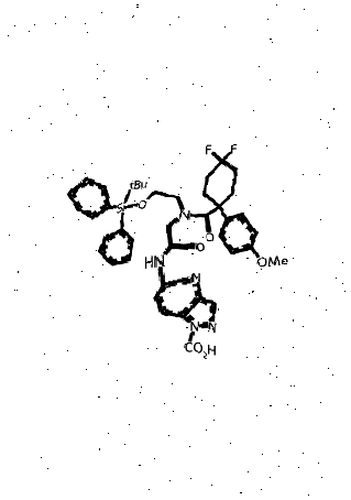 COc1ccc(C2(C(=O)N(CCO[Si](c3ccccc3)(c3ccccc3)C(C)(C)C)CC(=O)Nc3ccc4c(cnn4C(=O)O)n3)CCC(F)(F)CC2)cc1